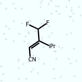 CC(C)/C(=C\C#N)C(F)F